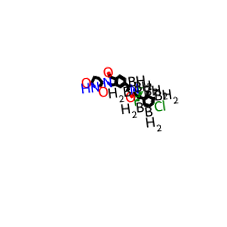 Bc1c(B)c(C(F)(F)C(=O)N(B)C(B)(B)c2ccc3c(c2)CN(C2CCC(=O)NC2=O)C3=O)c(B)c(B)c1Cl